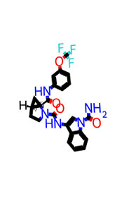 NC(=O)n1cc(NC(=O)N2CC[C@@H]3C[C@@]32C(=O)Nc2cccc(OC(F)(F)F)c2)c2ccccc21